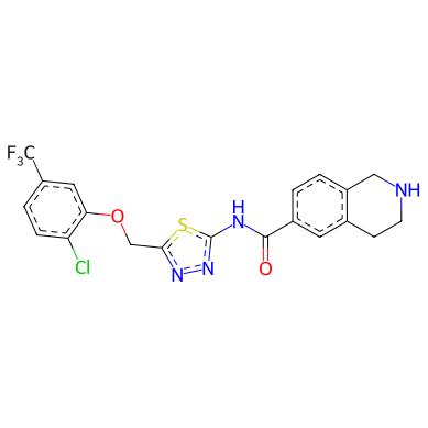 O=C(Nc1nnc(COc2cc(C(F)(F)F)ccc2Cl)s1)c1ccc2c(c1)CCNC2